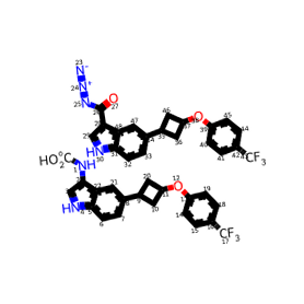 O=C(O)Nc1c[nH]c2ccc(C3CC(Oc4ccc(C(F)(F)F)cc4)C3)cc12.[N-]=[N+]=NC(=O)c1c[nH]c2ccc(C3CC(Oc4ccc(C(F)(F)F)cc4)C3)cc12